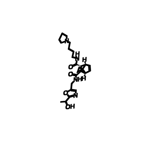 CC(O)c1ncc(CNC(=O)[C@H]2[C@H](C(=O)NCCCCN3CCCC3)[C@H]3C=C[C@@H]2C32CC2)o1